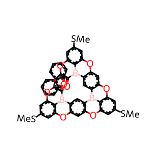 CSc1cc2c3c(c1)Oc1cc4c(cc1B3c1cc3c(cc1O2)Oc1cc(SC)cc2c1B3c1oc3ccccc3c1O2)B1c2oc3ccccc3c2Oc2cc(SC)cc(c21)O4